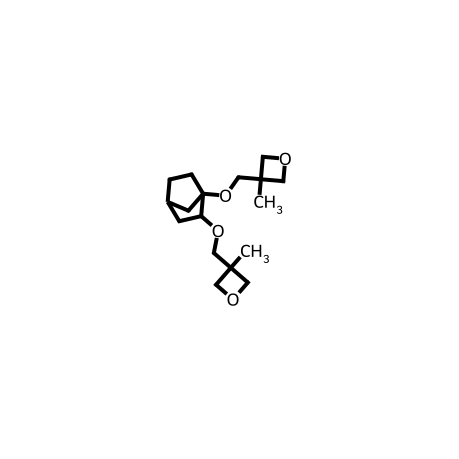 CC1(COC2CC3CCC2(OCC2(C)COC2)C3)COC1